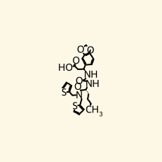 CCCC[C@@H](NC(=O)NC(CC(=O)O)c1ccc2c(c1)OCO2)C(=O)N(Cc1cccs1)Cc1cccs1